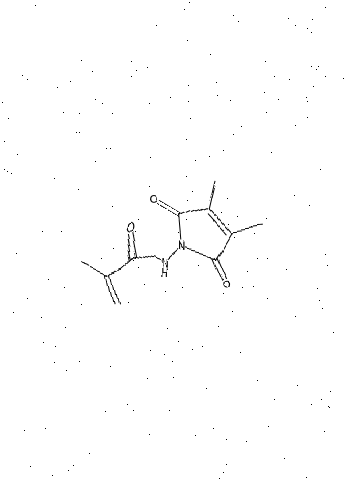 C=C(C)C(=O)NN1C(=O)C(C)=C(C)C1=O